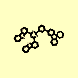 c1cc(-c2ccc3c(c2)-c2ccccc2C32CCCCC2)cc(-c2nc(-c3cccc4c3oc3ccccc34)nc(-c3cccc4c3oc3ccccc34)n2)c1